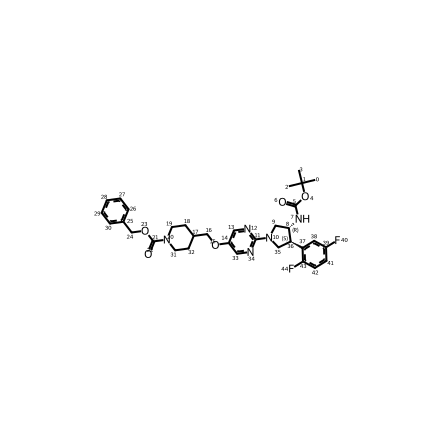 CC(C)(C)OC(=O)N[C@H]1CN(c2ncc(OCC3CCN(C(=O)OCc4ccccc4)CC3)cn2)C[C@@H]1c1cc(F)ccc1F